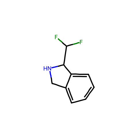 FC(F)C1NCc2ccccc21